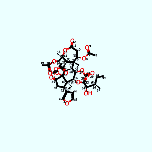 C=C1[C@@H]([C@@]2(C)[C@@H](OC(C)=O)CC(=O)O[C@](C)(COC(C)=O)[C@@H]2C(=O)OC)[C@@H](OC=O)[C@H](OC(=O)[C@H](O)[C@H](C)CC)[C@@]2(C)[C@H](c3ccoc3)CC(=O)[C@]12O